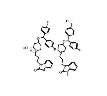 Cl.Cl.O.O=c1[nH]c2ccccc2n1CCCN1CCC(OC(c2ccc(F)cc2)c2ccc(F)cc2)CC1.O=c1[nH]c2ccccc2n1CCCN1CCC(OC(c2ccc(F)cc2)c2ccc(F)cc2)CC1